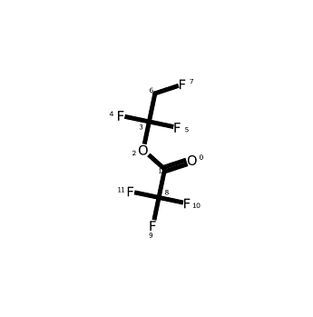 O=C(OC(F)(F)CF)C(F)(F)F